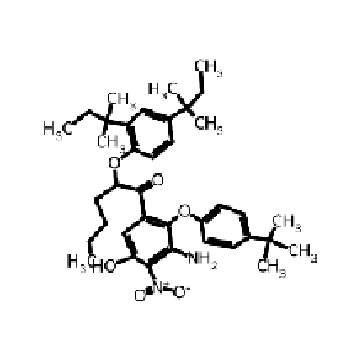 CCCCC(Oc1ccc(C(C)(C)CC)cc1C(C)(C)CC)C(=O)c1cc(O)c([N+](=O)[O-])c(N)c1Oc1ccc(C(C)(C)C)cc1